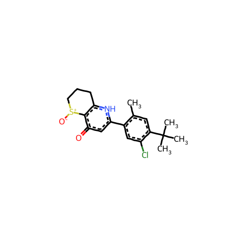 Cc1cc(C(C)(C)C)c(Cl)cc1-c1cc(=O)c2c([nH]1)CCC[S+]2[O-]